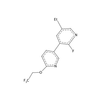 CCc1cnc(F)c(-c2ccc(OCC(F)(F)F)nc2)c1